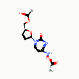 CCC(=O)OC[C@@H]1CC[C@H](n2ccc(NOC(=O)[C@@H](C)CC)nc2=O)O1